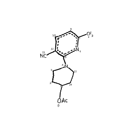 CC(=O)OC1CCN(c2nc(C(F)(F)F)ccc2C#N)CC1